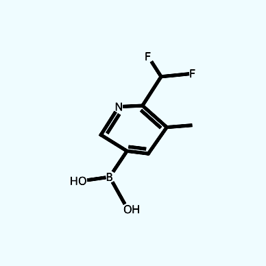 Cc1cc(B(O)O)cnc1C(F)F